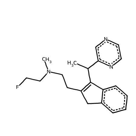 CC(C1=C(CCN(C)CCF)Cc2ccccc21)c1cnccn1